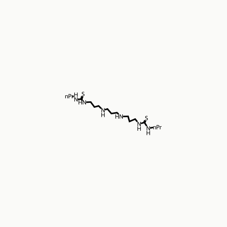 CCCNC(=S)NCCCNCCCNCCCNC(=S)NCCC